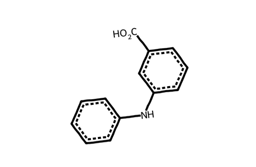 O=C(O)c1cccc(Nc2ccccc2)c1